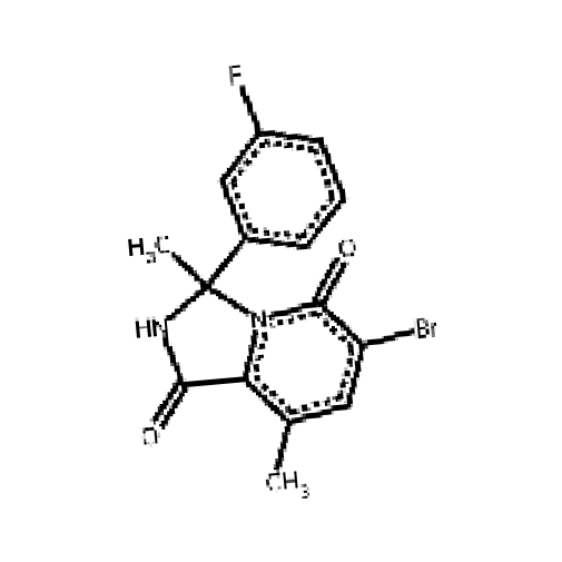 Cc1cc(Br)c(=O)n2c1C(=O)NC2(C)c1cccc(F)c1